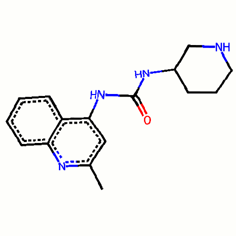 Cc1cc(NC(=O)NC2CCCNC2)c2ccccc2n1